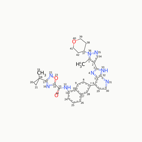 Cc1c(-c2nc3c(-c4ccc5c(NC(=O)c6nc(C7(C)CC7)no6)cccc5c4)ccnc3[nH]2)cnn1C1CCOCC1